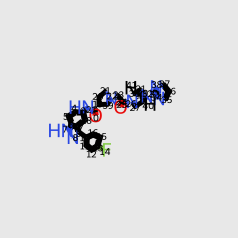 O=C(Nc1ccc2[nH]nc(-c3ccc(F)cc3)c2c1)[C@@H]1CCN(CC(=O)N2C[C@@H]3C[C@H]2CN3c2ncccn2)C1